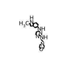 Cc1cc2cc(Nc3ccnc(NCCN4CCOCC4)n3)ccc2[nH]1